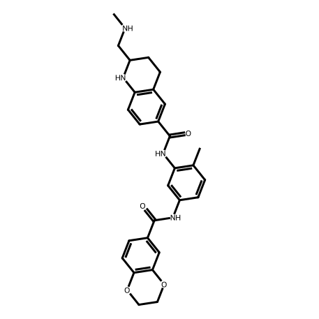 CNCC1CCc2cc(C(=O)Nc3cc(NC(=O)c4ccc5c(c4)OCCO5)ccc3C)ccc2N1